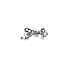 NCC(O)CNC(=O)C(Cc1ccc2ccccc2c1)NC(=O)CCN1C(=O)CCSc2ccccc21